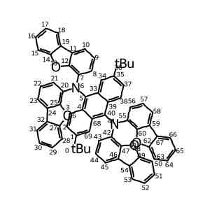 CC(C)(C)c1ccc2c(N(c3cccc4c3oc3ccccc34)c3cccc4c3oc3ccccc34)c3cc(C(C)(C)C)ccc3c(N(c3cccc4c3oc3ccccc34)c3cccc4c3oc3ccccc34)c2c1